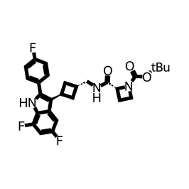 CC(C)(C)OC(=O)N1CC[C@@H]1C(=O)NC[C@H]1C[C@H](c2c(-c3ccc(F)cc3)[nH]c3c(F)cc(F)cc32)C1